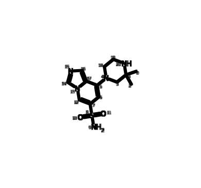 CC1(C)CN(c2cc(S(N)(=O)=O)cn3cncc23)CCN1